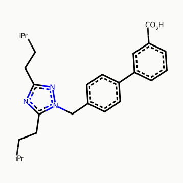 CC(C)CCc1nc(CCC(C)C)n(Cc2ccc(-c3cccc(C(=O)O)c3)cc2)n1